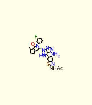 CC(=O)Nc1nc2ccc(C(=N)c3c(N)ncnc3NCc3cc4cccc(C)c4c(=O)n3-c3cccc(F)c3)cc2s1